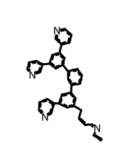 C=C/N=C\C=C/Cc1cc(-c2cccnc2)cc(-c2cccc(-c3cc(-c4cccnc4)cc(-c4cccnc4)c3)c2)c1